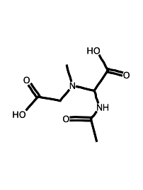 CC(=O)NC(C(=O)O)N(C)CC(=O)O